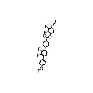 CCOc1ccc(-c2ccc(C3CCC(C(=O)Oc4ccc(OCC)c(F)c4F)CC3)c(F)c2F)cc1